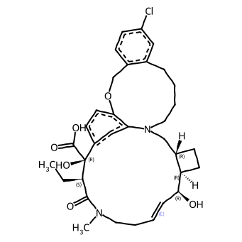 CC[C@@H]1C(=O)N(C)CC/C=C/[C@H](O)[C@@H]2CC[C@H]2CN2CCCCc3cc(Cl)ccc3COc3ccc(cc32)[C@@]1(O)C(=O)O